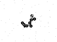 CC1(C)c2ccc(-n3c4ccccc4c4cc(-c5ccc6c(c5)c5ccccc5n6-c5cnccn5)ccc43)cc2-c2cc3ccccc3cc21